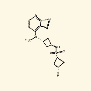 CN(c1ncnc2[nH]ccc12)[C@H]1C[C@H](NS(=O)(=O)[C@H]2C[C@@H](F)C2)C1